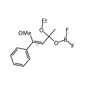 CCOC(C)(/C=C(\OC)c1ccccc1)OB(F)F